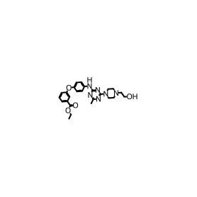 CCOC(=O)c1cccc(Oc2ccc(Nc3nc(C)nc(N4CCN(CCO)CC4)n3)cc2)c1